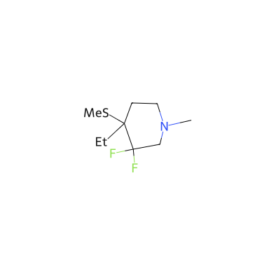 CCC1(SC)CCN(C)CC1(F)F